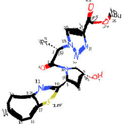 CC(C)[C@@H](C(=O)N1C[C@H](O)C[C@H]1c1nc2ccccc2s1)n1cc(C(=O)OC(C)(C)C)nn1